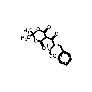 CC1(C)OC(=O)C(C(=O)[C@H](Cc2ccccc2)NC(=O)O)C(=O)O1